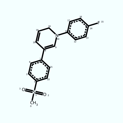 CS(=O)(=O)c1ccc(C2=CN(c3ccc(F)cc3)CC=C2)cc1